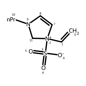 C=C[N+]1(S(=O)(=O)[O-])C=CN(CCC)C1